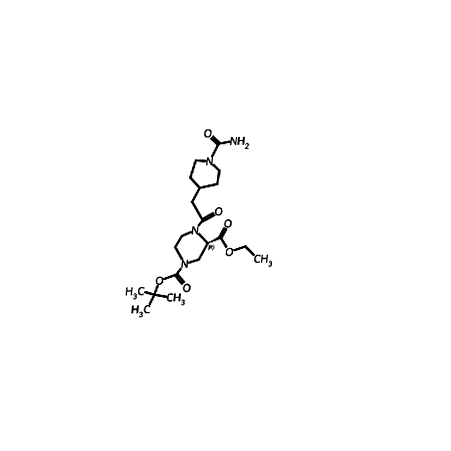 CCOC(=O)[C@H]1CN(C(=O)OC(C)(C)C)CCN1C(=O)CC1CCN(C(N)=O)CC1